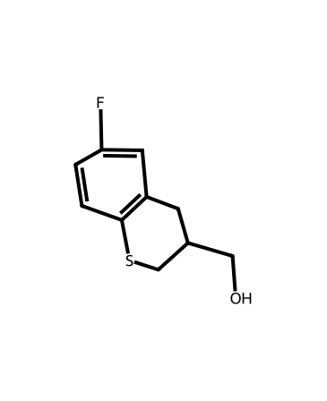 OCC1CSc2ccc(F)cc2C1